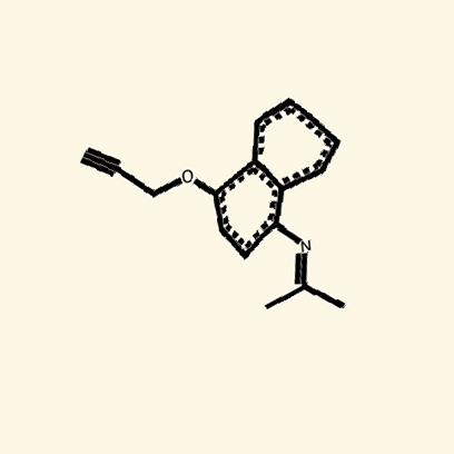 C#CCOc1ccc(N=C(C)C)c2ccccc12